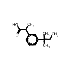 CCC(C)(C)c1cccc(C(C)C(=O)O)c1